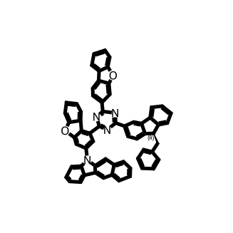 c1ccc(C[C@@H]2c3ccccc3-c3cc(-c4nc(-c5ccc6c(c5)oc5ccccc56)nc(-c5cc(-n6c7ccccc7c7cc8ccccc8cc76)cc6oc7ccccc7c56)n4)ccc32)cc1